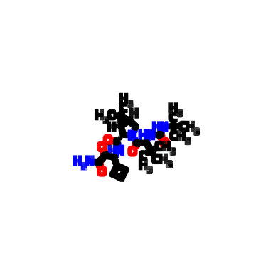 CC(C)(C)NC(=O)N[C@H](C(=O)N1C[C@H]2[C@@H]([C@H]1C(=O)NC(C(=O)C(N)=O)C1CCC1)C2(C)C)C(C)(C)C